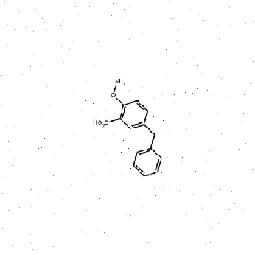 NOc1ccc(Cc2ccccc2)cc1C(=O)O